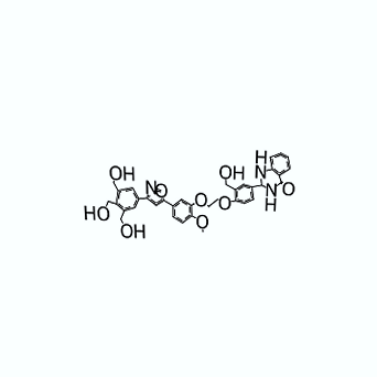 COc1ccc(-c2cc(-c3cc(CO)c(CO)c(CO)c3)no2)cc1OCCOc1ccc(C2NC(=O)c3ccccc3N2)cc1CO